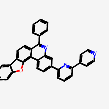 c1ccc(-c2nc3cc(-c4cccc(-c5ccncc5)n4)ccc3c3c2ccc2c4ccccc4oc23)cc1